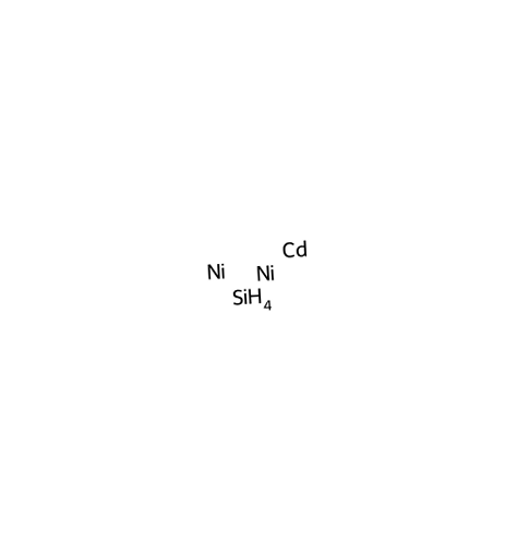 [Cd].[Ni].[Ni].[SiH4]